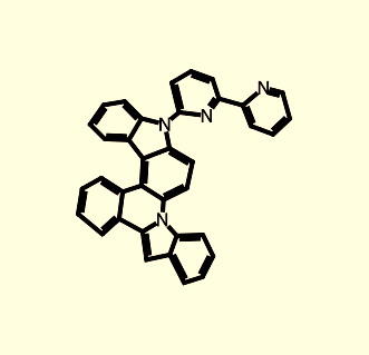 c1ccc(-c2cccc(-n3c4ccccc4c4c5c6ccccc6c6cc7ccccc7n6c5ccc43)n2)nc1